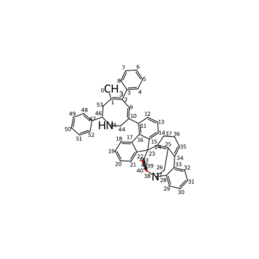 C/C1=C(c2ccccc2)/C=C(/c2cccc3c2-c2ccccc2C32C3=C4CN(c5ccccc5C4=CCC3)c3ccccc32)CNC(c2ccccc2)C1